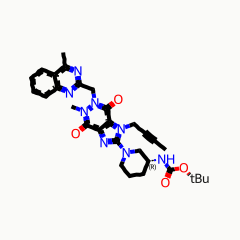 CC#CCn1c(N2CCC[C@@H](NC(=O)OC(C)(C)C)C2)nc2c(=O)n(C)n(Cc3nc(C)c4ccccc4n3)c(=O)c21